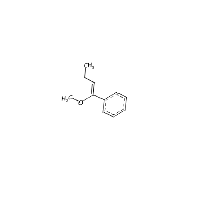 CCC=C(OC)c1ccccc1